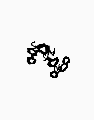 c1ccc(-c2ccc3sc4ccc5nc(-c6ccc(-n7c8ccccc8c8ccc9ccccc9c87)cc6)sc5c4c3c2)cc1